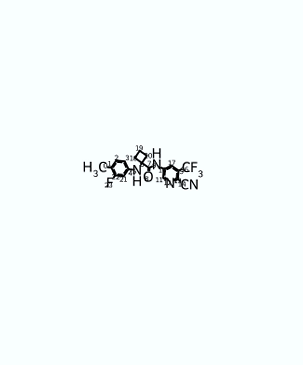 Cc1ccc(NC2(C(=O)Nc3cnc(C#N)c(C(F)(F)F)c3)CCC2)cc1F